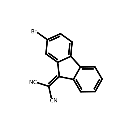 N#CC(C#N)=C1c2ccccc2-c2ccc(Br)cc21